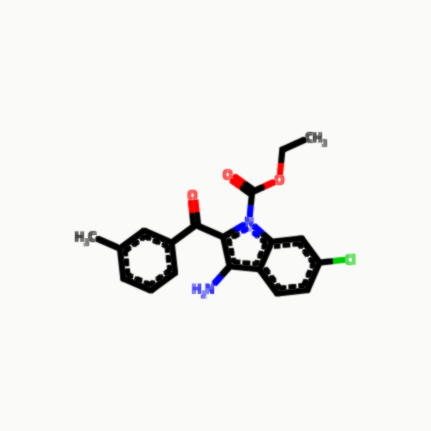 CCOC(=O)n1c(C(=O)c2cccc(C)c2)c(N)c2ccc(Cl)cc21